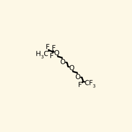 CC(F)C(F)(F)OCCOCCOCCOCC(F)C(F)(F)F